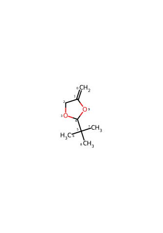 C=C1COC(C(C)(C)C)O1